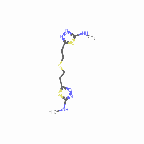 CNc1nnc(CCSCCc2nnc(NC)s2)s1